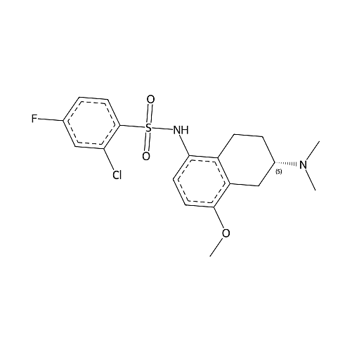 COc1ccc(NS(=O)(=O)c2ccc(F)cc2Cl)c2c1C[C@@H](N(C)C)CC2